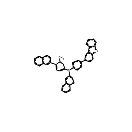 CC1CC(N(c2ccc(-c3ccc4oc5ccccc5c4c3)cc2)c2ccc3ccccc3c2)=CC=C1c1ccc2ccccc2c1